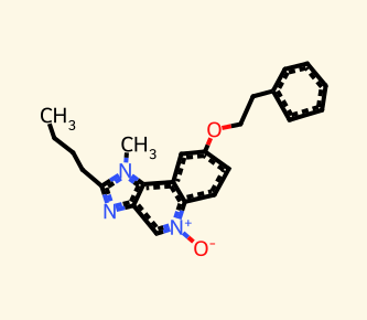 CCCCc1nc2c[n+]([O-])c3ccc(OCCc4ccccc4)cc3c2n1C